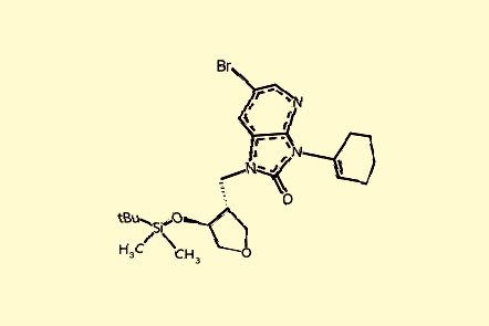 CC(C)(C)[Si](C)(C)O[C@@H]1COC[C@H]1Cn1c(=O)n(C2=CCCCC2)c2ncc(Br)cc21